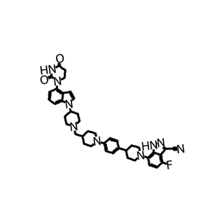 N#Cc1n[nH]c2c(N3CCC(c4ccc(N5CCC(CN6CCC(n7ccc8c(N9CCC(=O)NC9=O)cccc87)CC6)CC5)cc4)CC3)ccc(F)c12